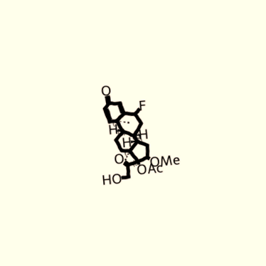 COC1C[C@H]2[C@@H]3CC(F)C4=CC(=O)C=C[C@]4(C)[C@H]3CC[C@]2(C)[C@@]1(OC(C)=O)C(=O)CO